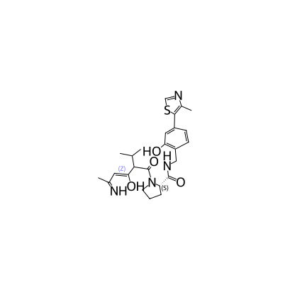 CC(=N)/C=C(\O)C(C(=O)N1CCC[C@H]1C(=O)NCc1ccc(-c2scnc2C)cc1O)C(C)C